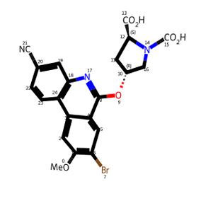 COc1cc2c(cc1Br)c(O[C@@H]1C[C@@H](C(=O)O)N(C(=O)O)C1)nc1cc(C#N)ccc12